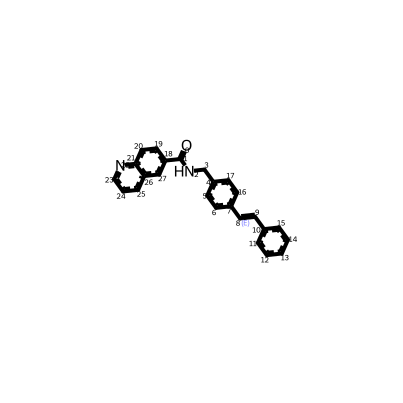 O=C(NCc1ccc(/C=C/c2ccccc2)cc1)c1ccc2ncccc2c1